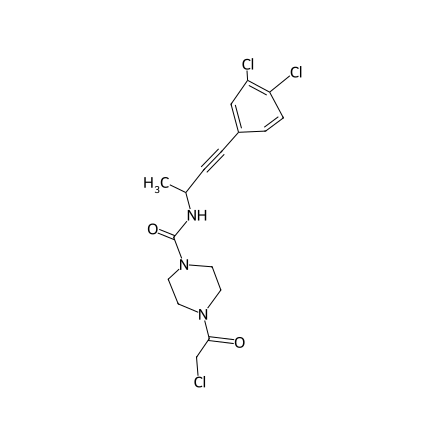 CC(C#Cc1ccc(Cl)c(Cl)c1)NC(=O)N1CCN(C(=O)CCl)CC1